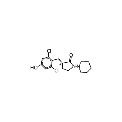 O=C1[C@H](Cc2c(Cl)cc(O)cc2Cl)CCN1N1CCCCC1